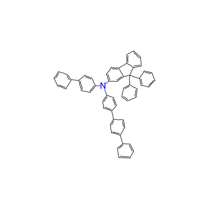 c1ccc(-c2ccc(-c3ccc(N(c4ccc(-c5ccccc5)cc4)c4ccc5c(c4)C(c4ccccc4)(c4ccccc4)c4ccccc4-5)cc3)cc2)cc1